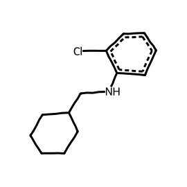 Clc1ccccc1NCC1CCCCC1